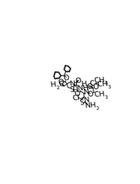 C=CC1(C(=O)OC(c2ccccc2)c2ccccc2)CS[C@@H]2C(NC(=O)C(=NOC(C)C(=O)OC(C)(C)C)c3nc(N)sc3Cl)C(=O)N2C1